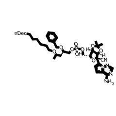 CCCCCCCCCCCCCCCCOC(C)C[C@H](COP(=O)(O)OC[C@H]1O[C@@](C#N)(c2ccc3c(N)ncnn23)[C@@H]2OC(C)(C)O[C@@H]21)OCc1ccccc1